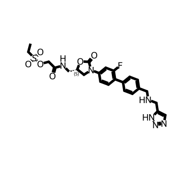 CCS(=O)(=O)OCC(=O)NC[C@H]1CN(c2ccc(-c3ccc(CNCc4cnn[nH]4)cc3)c(F)c2)C(=O)O1